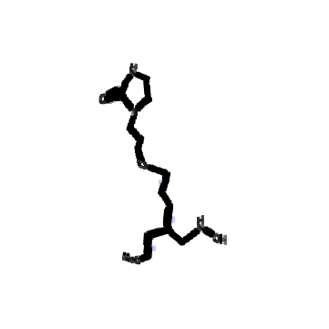 CO/C=C/C(=C\C=C\OCCN1CCNC1=O)CNO